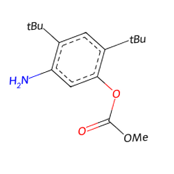 COC(=O)Oc1cc(N)c(C(C)(C)C)cc1C(C)(C)C